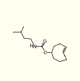 CC(C)CCNC(=O)OC1CC/C=C/CCC1